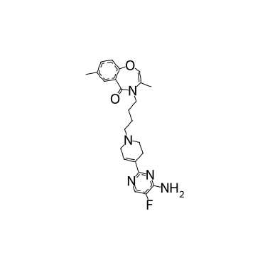 CC1=COc2ccc(C)cc2C(=O)N1CCCCN1CC=C(c2ncc(F)c(N)n2)CC1